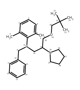 Cc1cccc(C)c1N(Cc1ccccc1)CC(COCC(C)(C)C)N1CCCC1